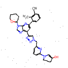 Cc1c(C#N)cccc1-c1cc(-c2cn(Cc3cccc(N4C=C(O)CC4)n3)nn2)c2ncn(C3CCCCO3)c2n1